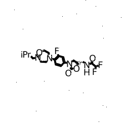 CC(C)CN1CCN(c2ccc(N3C[C@H](CNC(=O)C(F)F)OC3=O)cc2F)CCO1